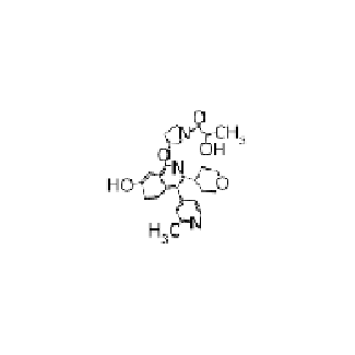 Cc1cc(-c2c(C3CCOCC3)nc(OC3CCN(C(=O)C(C)O)C3)c3cc(O)ccc23)ccn1